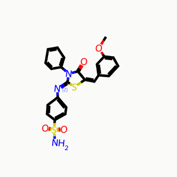 COc1cccc(C=C2S/C(=N\c3ccc(S(N)(=O)=O)cc3)N(c3ccccc3)C2=O)c1